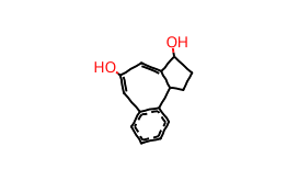 OC1=Cc2ccccc2C2CCC(O)C2=C1